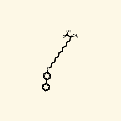 C=C(CCCCCCCCCCCSc1ccc(-c2ccccc2)cc1)C(=O)O